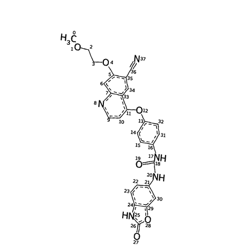 COCCOc1cc2nccc(Oc3ccc(NC(=O)Nc4ccc5[nH]c(=O)oc5c4)cc3)c2cc1C#N